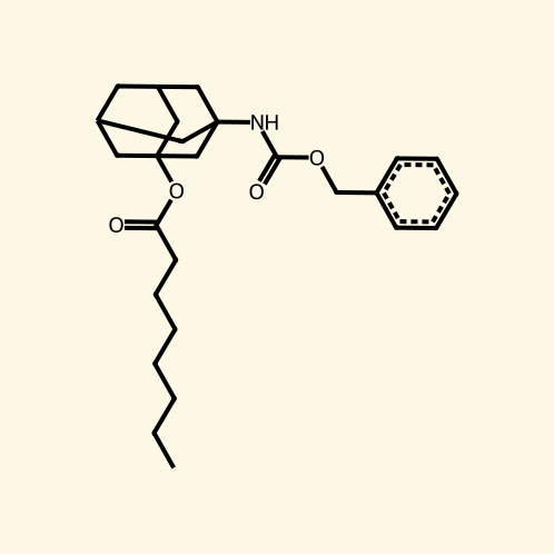 CCCCCCCC(=O)OC12CC3CC(CC(NC(=O)OCc4ccccc4)(C3)C1)C2